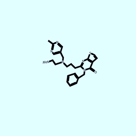 CNCCN(CCCc1nc2sccc2c(=O)n1Cc1ccccc1)Cc1cnc(C)nc1